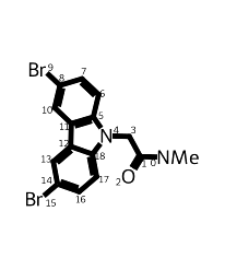 CNC(=O)Cn1c2ccc(Br)cc2c2cc(Br)ccc21